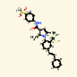 CC1=CC(C(=O)Nc2ccc(S(C)(=O)=O)cc2)C(C)N1c1ccc(/C=C/c2ccccc2)cc1C(F)(F)F